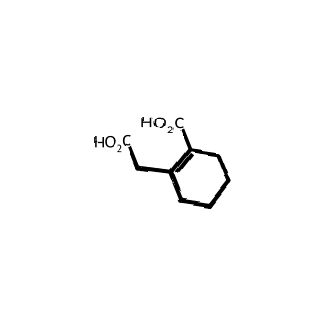 O=C(O)CC1=C(C(=O)O)CCCC1